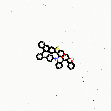 c1ccc(-c2cccc3ccccc23)c(-c2ccc(N(c3ccccc3-c3cccc4oc5ccccc5c34)c3cccc4sc5ccccc5c34)cc2)c1